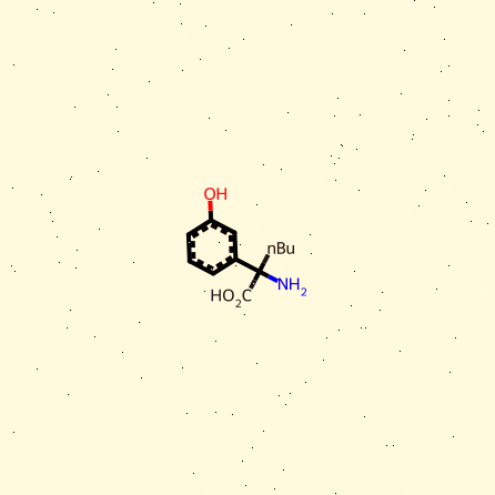 CCCCC(N)(C(=O)O)c1cccc(O)c1